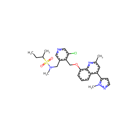 CCC(C)S(=O)(=O)N(C)Cc1cncc(Cl)c1COc1cccc2c(-c3ccnn3C)cc(C)nc12